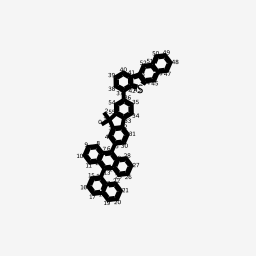 CC1(C)c2cc(-c3c4ccccc4c(-c4cccc5ccccc45)c4ccccc34)ccc2-c2ccc(-c3cccc4c3sc3cc5ccccc5cc34)cc21